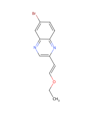 CCOC=Cc1cnc2cc(Br)ccc2n1